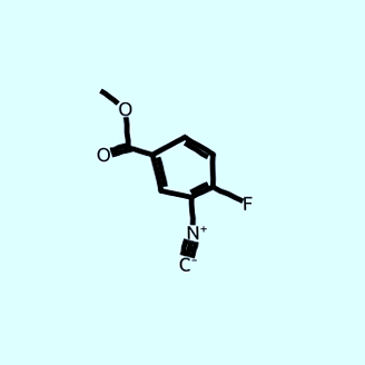 [C-]#[N+]c1cc(C(=O)OC)ccc1F